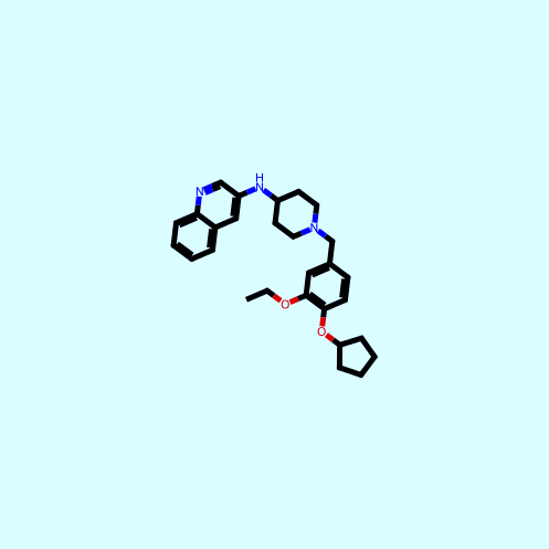 CCOc1cc(CN2CCC(Nc3cnc4ccccc4c3)CC2)ccc1OC1CCCC1